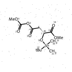 COC(=O)OC(=O)C[C@@H](O[Si](C)(C)C(C)(C)C)C(=O)OC